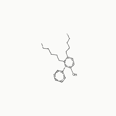 CCCCCCc1c(CCCCC)ccc(O)c1-c1ccccc1